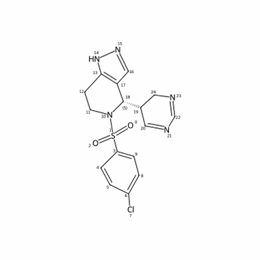 O=S(=O)(c1ccc(Cl)cc1)N1CCc2[nH]ncc2[C@@H]1C1C=NC=NC1